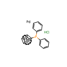 Cl.[Pd].c1ccc(P(c2ccccc2)[C]23[CH]4[CH]5[CH]6[CH]2[Fe]56432789[CH]3[CH]2[CH]7[CH]8[CH]39)cc1